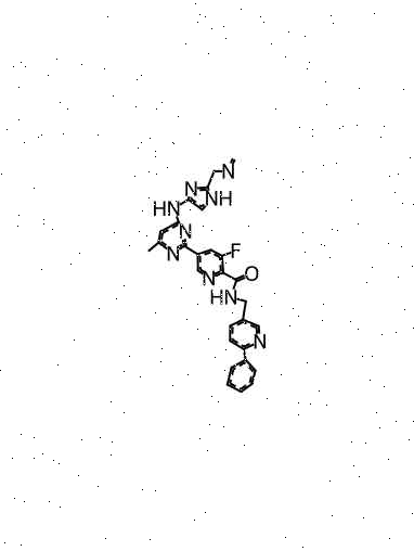 C=NCc1nc(Nc2cc(C)nc(-c3cnc(C(=O)NCc4ccc(-c5ccccc5)nc4)c(F)c3)n2)c[nH]1